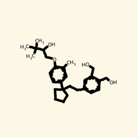 Cc1cc(C2(CCc3ccc(CO)c(CO)c3)CCCC2)ccc1OCC(O)C(C)(C)C